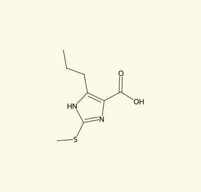 CCCc1[nH]c(SC)nc1C(=O)O